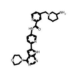 NC1CCCN(Cc2ccnc(C(=O)Nc3ccc(-c4cc5c(N6CCOCC6)ncnc5[nH]4)nc3)c2)C1